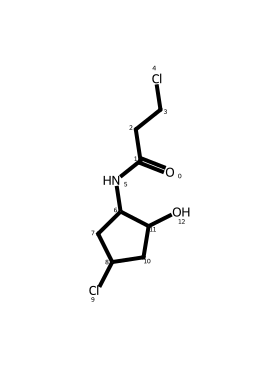 O=C(CCCl)NC1CC(Cl)CC1O